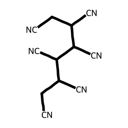 N#CCC(C#N)C(C#N)C(C#N)C(C#N)CC#N